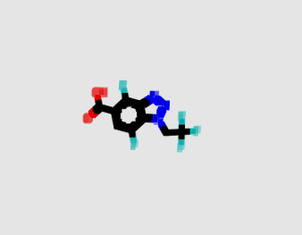 O=C(O)c1cc(F)c2c(nnn2CC(F)(F)F)c1F